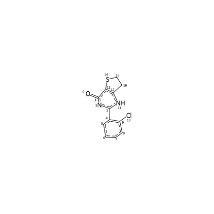 O=c1nc(-c2ccccc2Cl)[nH]c2c1SCC2